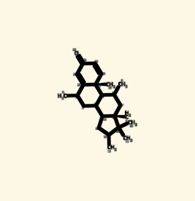 CC1CC2C(C(C)C[C@@]3(C)C2CC(C)C3(C)C)[C@@]2(C)C=CC(=O)C=C12